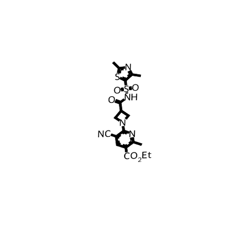 CCOC(=O)c1cc(C#N)c(N2CC(C(=O)NS(=O)(=O)c3sc(C)nc3C)C2)nc1C